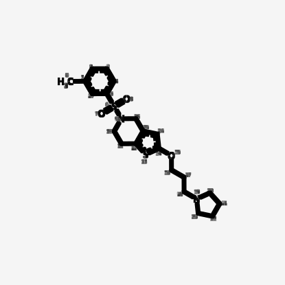 Cc1cccc(S(=O)(=O)N2CCc3sc(OCCCN4CCCC4)cc3C2)c1